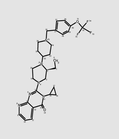 CC[C@H]1CN(c2nc3ncccc3c(=O)n2C2CC2)CCN1C1CCN(Cc2ccc(OC(F)(F)F)cc2)CC1